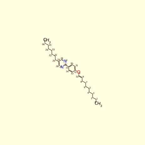 CCCCCCCCC/C=C/Oc1ccc(-c2ncc(CCCCCCCC)cn2)cc1